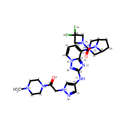 CN1CCN(C(=O)Cn2cc(Nc3nc4c(N5CC6CCC(C5)N6C(=O)N5CC(F)(F)C5)cccn4n3)cn2)CC1